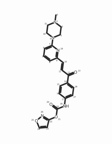 CN1CCN(c2cccc(C=CC(=O)c3ccc(NC(=O)Oc4ccon4)cc3)n2)CC1